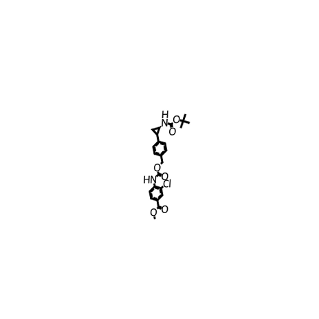 COC(=O)c1ccc(NC(=O)OCc2ccc(C3C[C@@H]3NC(=O)OC(C)(C)C)cc2)c(Cl)c1